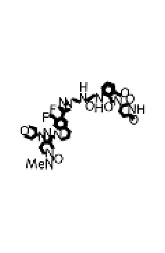 CNC(=O)N1CCc2c(c(N3CCCc4cc(-c5cnn(CCNC(=O)CNc6cccc7c6C(=O)N(C6CCC(=O)NC6=O)C7=O)c5)c(C(F)F)cc43)nn2C2CCOCC2)C1